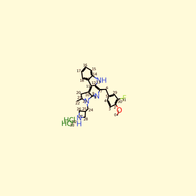 COc1ccc(Cc2nc3c(c4c2[nH]c2ccccc24)CC(C)N3CC2CNC2)cc1F.Cl.Cl